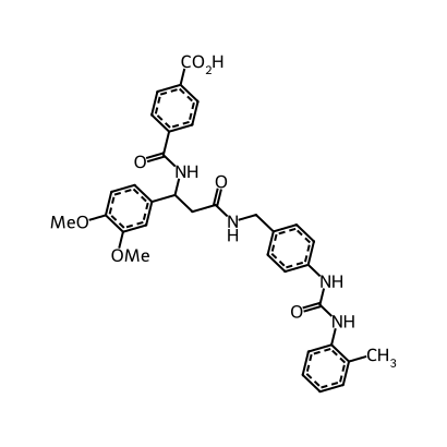 COc1ccc(C(CC(=O)NCc2ccc(NC(=O)Nc3ccccc3C)cc2)NC(=O)c2ccc(C(=O)O)cc2)cc1OC